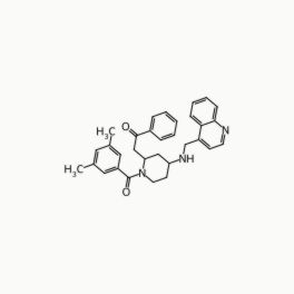 Cc1cc(C)cc(C(=O)N2CCC(NCc3ccnc4ccccc34)CC2CC(=O)c2ccccc2)c1